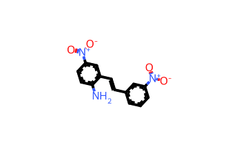 Nc1ccc([N+](=O)[O-])cc1C=Cc1cccc([N+](=O)[O-])c1